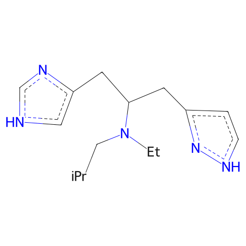 CCN(CC(C)C)C(Cc1c[nH]cn1)Cc1cc[nH]n1